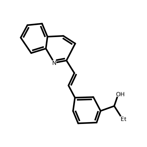 CCC(O)c1cccc(C=Cc2ccc3ccccc3n2)c1